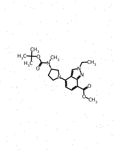 CCn1cc2c(N3CC[C@@H](N(C)C(=O)OC(C)(C)C)C3)ccc(C(=O)OC)c2n1